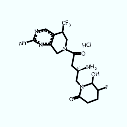 CCCc1ncc2c(n1)CN(C(=O)C[C@@H](N)CN1C(=O)CCC(F)C1O)CC2C(F)(F)F.Cl